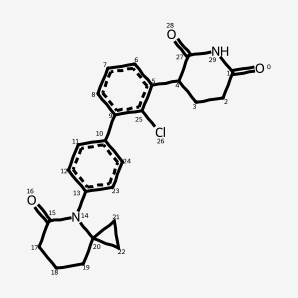 O=C1CCC(c2cccc(-c3ccc(N4C(=O)CCCC45CC5)cc3)c2Cl)C(=O)N1